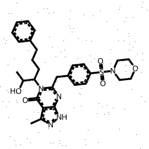 Cc1n[nH]c2nc(Cc3ccc(S(=O)(=O)N4CCOCC4)cc3)n(C(CCCc3ccccc3)C(C)O)c(=O)c12